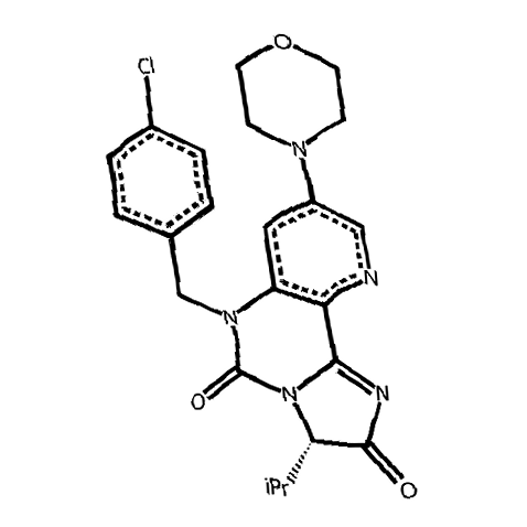 CC(C)[C@H]1C(=O)N=C2c3ncc(N4CCOCC4)cc3N(Cc3ccc(Cl)cc3)C(=O)N21